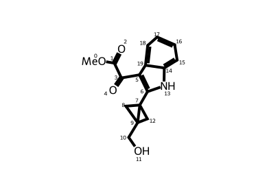 COC(=O)C(=O)c1c(C23CC2(CO)C3)[nH]c2ccccc12